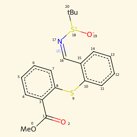 COC(=O)c1ccccc1Sc1ccccc1/C=N\[S+]([O-])C(C)(C)C